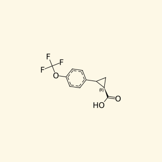 O=C(O)[C@@H]1CC1c1ccc(OC(F)(F)F)cc1